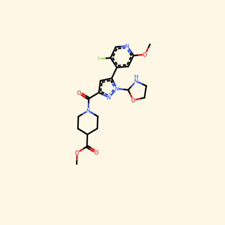 COC(=O)C1CCN(C(=O)c2cc(-c3cc(OC)ncc3F)n(C3NCCO3)n2)CC1